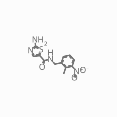 Cc1c(CNC(=O)c2cnc(N)s2)cccc1[N+](=O)[O-]